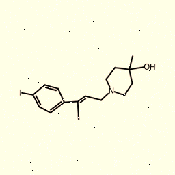 C/C(=C\CN1CCC(C)(O)CC1)c1ccc(I)cc1